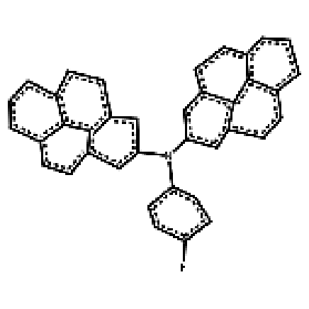 Fc1ccc(N(c2cc3ccc4cccc5ccc(c2)c3c45)c2cc3ccc4cccc5ccc(c2)c3c45)cc1